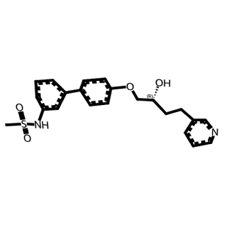 CS(=O)(=O)Nc1cccc(-c2ccc(OC[C@H](O)CCc3cccnc3)cc2)c1